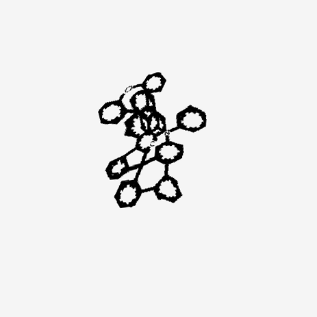 c1ccc(N(c2ccc3c(c2)-c2ccccc2Oc2ccccc2-3)c2ccc3c(c2)C2(c4ccccc4-c4ccccc4-3)c3ccccc3-c3c2cc2ccc4cccc5ccc3c2c45)cc1